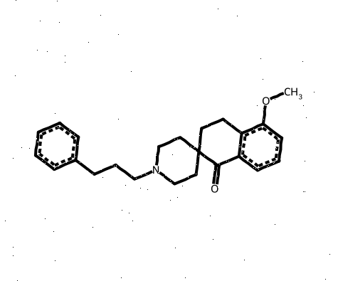 COc1cccc2c1CCC1(CCN(CCCc3ccccc3)CC1)C2=O